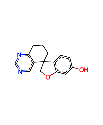 Oc1ccc2c(c1)OCC21CCCc2ncncc21